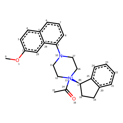 COc1ccc2cccc(N3CC[N+](C(C)=O)([C@@H]4CCc5ccccc54)CC3)c2c1